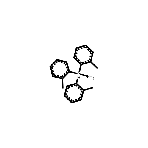 Cc1ccccc1[PH](P)(c1ccccc1C)c1ccccc1C